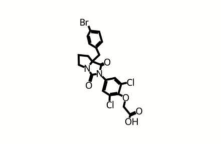 O=C(O)COc1c(Cl)cc(N2C(=O)N3CCCC3(Cc3ccc(Br)cc3)C2=O)cc1Cl